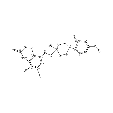 CCOc1ccc(N2CCC(O)(COc3cc(F)c(F)c4c3CCC(=O)N4)CC2)c(F)c1